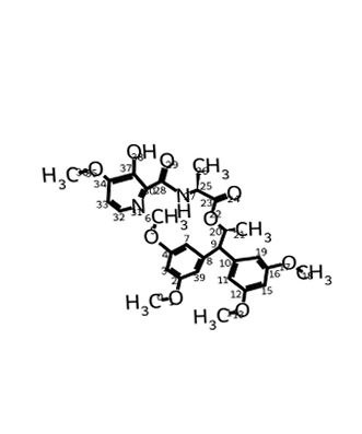 COc1cc(OC)cc(C(c2cc(OC)cc(OC)c2)[C@H](C)OC(=O)[C@H](C)NC(=O)c2nccc(OC)c2O)c1